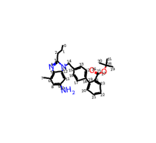 CCCc1nc2c(C)cc(N)cc2n1Cc1ccc(-c2ccccc2C(=O)OC(C)(C)C)cc1